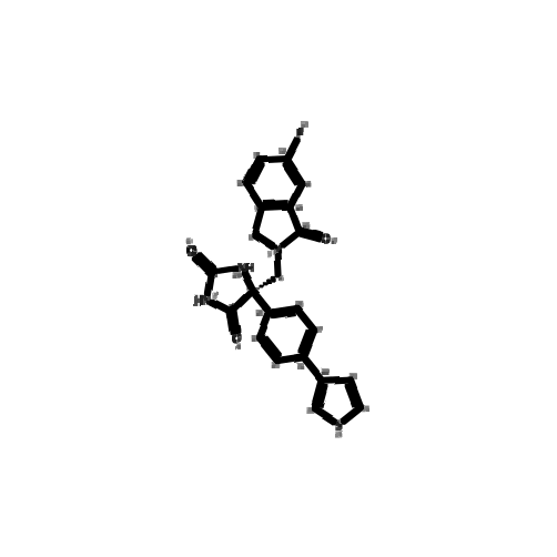 O=C1NC(=O)[C@](CN2Cc3ccc(F)cc3C2=O)(c2ccc(-c3ccsc3)cc2)N1